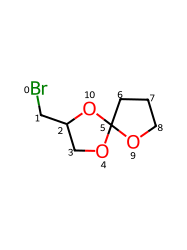 BrCC1COC2(CCCO2)O1